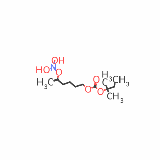 CCC(C)(C)OC(=O)OCCCCC(C)ON(O)O